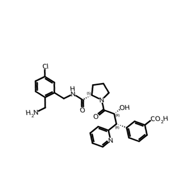 NCc1ccc(Cl)cc1CNC(=O)[C@@H]1CCCN1C(=O)[C@H](O)[C@H](c1cccc(C(=O)O)c1)c1ccccn1